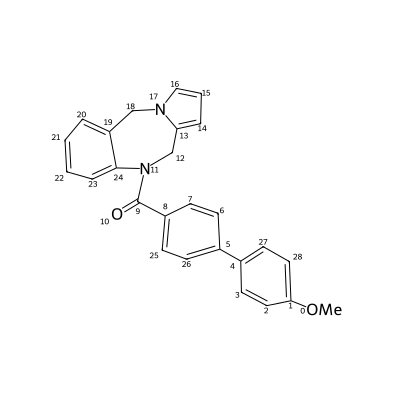 COc1ccc(-c2ccc(C(=O)N3Cc4cccn4Cc4ccccc43)cc2)cc1